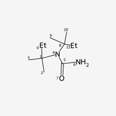 CCC(C)(C)N(C(N)=O)C(C)(C)CC